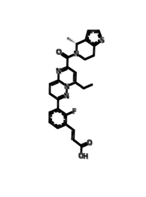 CCC1=CC(C(=O)N2CCc3sccc3[C@H]2C)=NC2=CCC(c3cccc(/C=C/C(=O)O)c3F)=NN12